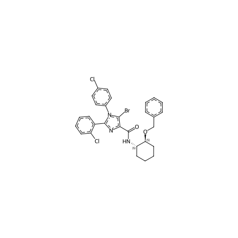 O=C(N[C@H]1CCCC[C@@H]1OCc1ccccc1)c1nc(-c2ccccc2Cl)n(-c2ccc(Cl)cc2)c1Br